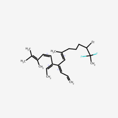 C=C/C=C(\C=C(/C)CCCC(CC)C(C)(F)F)C(/C=C\C(C)=C(C)C)=C\C